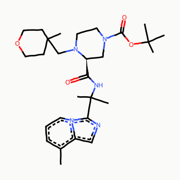 Cc1cccn2c(C(C)(C)NC(=O)[C@@H]3CN(C(=O)OC(C)(C)C)CCN3CC3(C)CCOCC3)ncc12